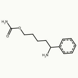 NC(=O)OCCCCC(N)c1ccccc1